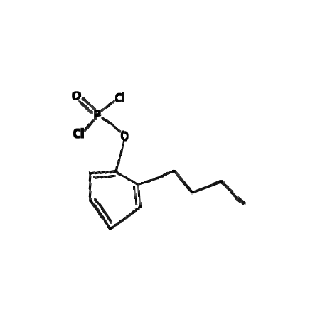 CCCCc1ccccc1OP(=O)(Cl)Cl